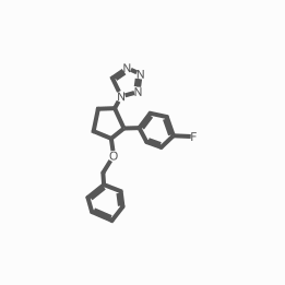 Fc1ccc(C2C(OCc3ccccc3)CCC2n2cnnn2)cc1